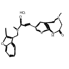 Cc1oc2ccccc2c1CN(C)C(=O)/C=C/c1cnc2c(c1)CN(C)CC(=O)N2.Cl